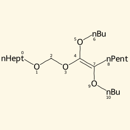 CCCCCCCOCO/C(OCCCC)=C(/CCCCC)OCCCC